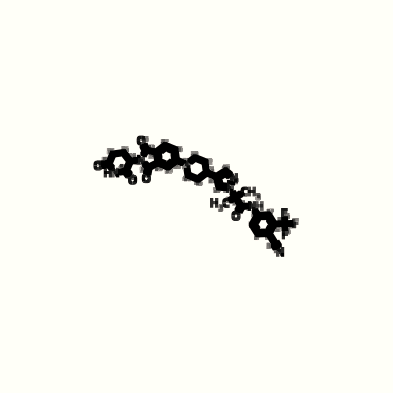 CC(C)(C(=O)Nc1ccc(C#N)c(C(F)(F)F)c1)n1cc(C2CCN(c3ccc4c(c3)C(=O)N(C3CCC(=O)NC3=O)C4=O)CC2)cn1